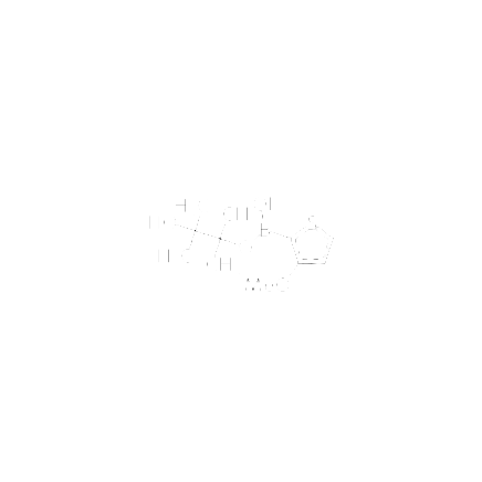 COc1ccsc1B(O)OC(C)(C)C(C)(C)O